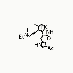 CCNCC#Cc1c(F)ccc2c1C(=Cc1cc(C(C)=O)c[nH]1)C(=O)N2.Cl